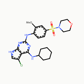 COc1cc(S(=O)(=O)N2CCOCC2)ccc1Nc1nc(NC2CCCCC2)c2c(Cl)c[nH]c2n1